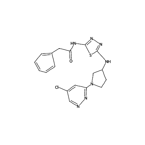 O=C(Cc1ccccc1)Nc1nnc(NC2CCN(c3cc(Cl)cnn3)C2)s1